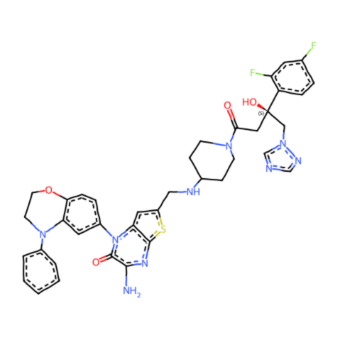 Nc1nc2sc(CNC3CCN(C(=O)C[C@@](O)(Cn4cncn4)c4ccc(F)cc4F)CC3)cc2n(-c2ccc3c(c2)N(c2ccccc2)CCO3)c1=O